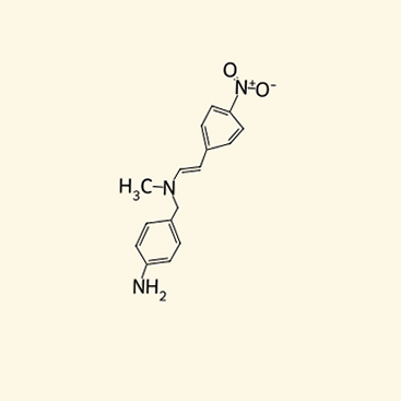 CN(C=Cc1ccc([N+](=O)[O-])cc1)Cc1ccc(N)cc1